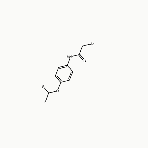 CC(=O)CC(=O)Nc1ccc(OC(F)F)cc1